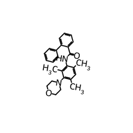 Cc1cc(C)c(N2CCOCC2)c(C)c1NC(=O)c1ccccc1-c1ccccc1